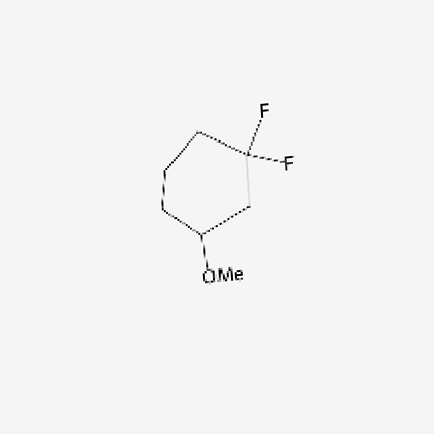 COC1CCCC(F)(F)C1